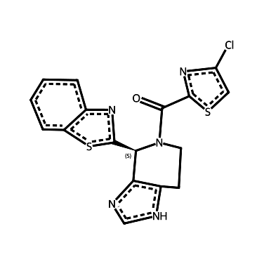 O=C(c1nc(Cl)cs1)N1CCc2[nH]cnc2[C@H]1c1nc2ccccc2s1